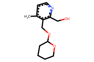 Cc1ccnc(CO)c1COC1CCCCO1